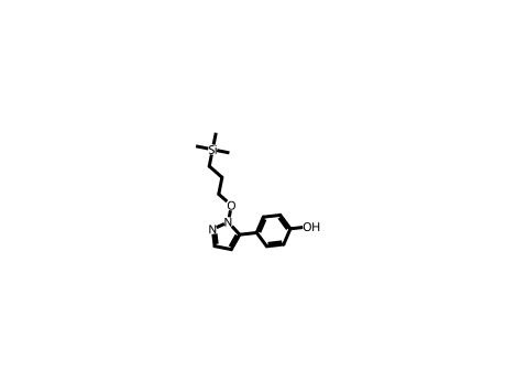 C[Si](C)(C)CCCOn1nccc1-c1ccc(O)cc1